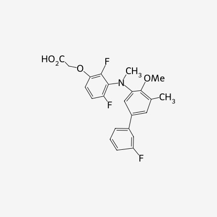 COc1c(C)cc(-c2cccc(F)c2)cc1N(C)c1c(F)ccc(OCC(=O)O)c1F